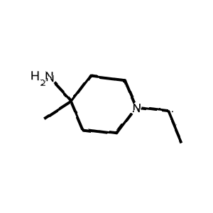 C[CH]N1CCC(C)(N)CC1